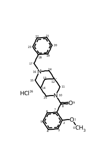 COc1ccccc1C(=O)N1C[C]2CC(CN(Cc3ccccc3)C2)C1.Cl